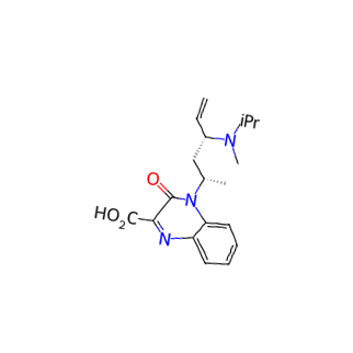 C=C[C@@H](C[C@H](C)n1c(=O)c(C(=O)O)nc2ccccc21)N(C)C(C)C